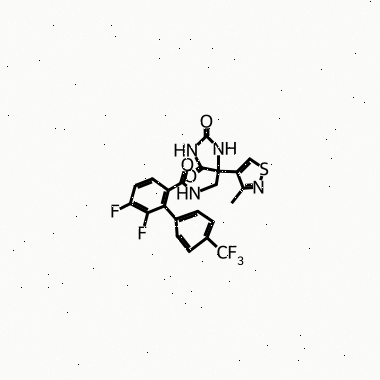 Cc1nscc1C1(CNC(=O)c2ccc(F)c(F)c2-c2ccc(C(F)(F)F)cc2)NC(=O)NC1=O